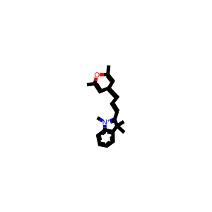 CC1=CC(=C/C=C/C2=[N+](C)c3ccccc3C2(C)C)C=C(C)O1